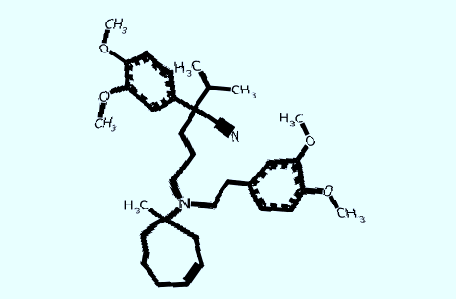 COc1ccc(CCN(CCCC(C#N)(c2ccc(OC)c(OC)c2)C(C)C)C2(C)CC=CCCC2)cc1OC